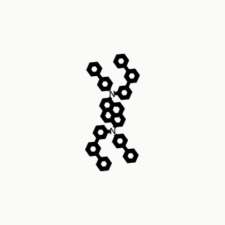 c1ccc(-c2ccc(N(c3cccc(-c4cccc(-c5ccccc5)c4)c3)c3ccc4ccc5c(N(c6ccc(-c7ccccc7)cc6)c6cccc(-c7cccc(-c8ccccc8)c7)c6)ccc6ccc3c4c65)cc2)cc1